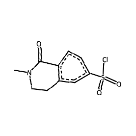 CN1CCc2cc(S(=O)(=O)Cl)ccc2C1=O